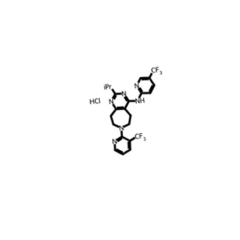 CC(C)c1nc2c(c(Nc3ccc(C(F)(F)F)cn3)n1)CCN(c1ncccc1C(F)(F)F)CC2.Cl